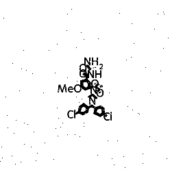 COc1cc(C(=O)N[C@@H](C)C(N)=O)cc(N(C2CN(C(c3ccc(Cl)cc3)c3ccc(Cl)cc3)C2)S(C)(=O)=O)c1